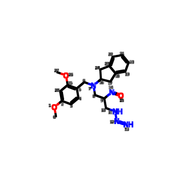 COc1ccc(CN(CC(CNN=N)N=O)C2Cc3ccccc3C2)c(OC)c1